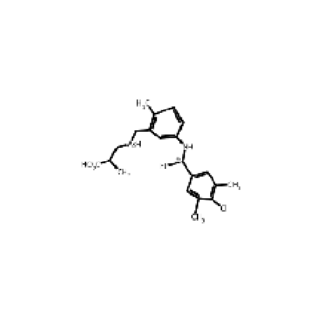 CC[C@@H](Nc1ccc(C)c(C[AsH]CC(C)C(=O)O)c1)c1cc(C)c(Cl)c(C)c1